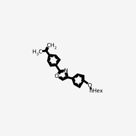 C=C(C)c1ccc(-c2nc(-c3ccc(OCCCCCC)cc3)co2)cc1